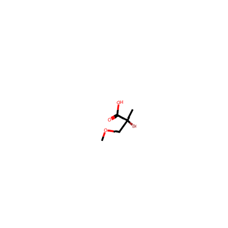 COCC(C)(Br)C(=O)O